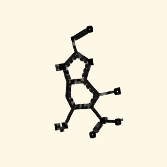 Nc1cc2[nH]c(C=O)nc2c(Cl)c1[N+](=O)[O-]